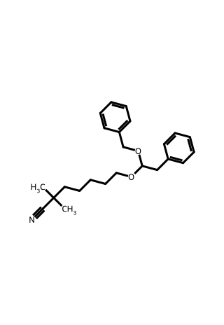 CC(C)(C#N)CCCCCOC(Cc1ccccc1)OCc1ccccc1